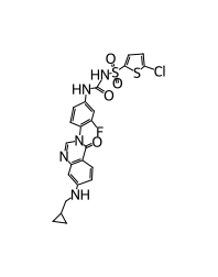 O=C(Nc1ccc(-n2cnc3cc(NCC4CC4)ccc3c2=O)c(F)c1)NS(=O)(=O)c1ccc(Cl)s1